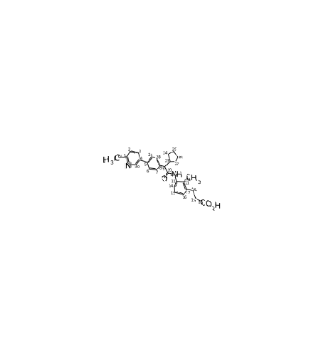 Cc1ccc(-c2ccc(C(C(=O)Nc3cccc(CCC(=O)O)c3C)C3CCCC3)cc2)cn1